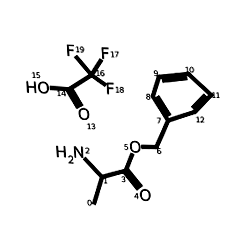 CC(N)C(=O)OCc1ccccc1.O=C(O)C(F)(F)F